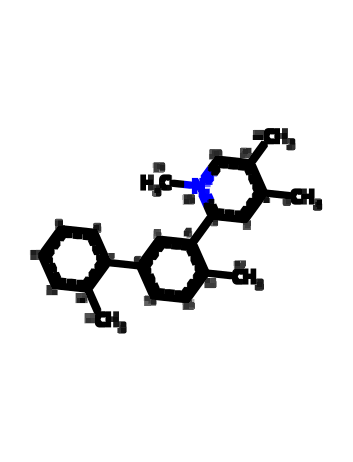 Cc1cc(-c2cc(-c3ccccc3C)ccc2C)[n+](C)cc1C